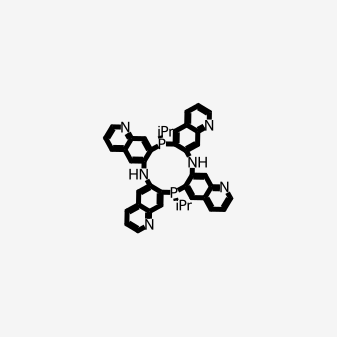 CC(C)P1c2cc3cccnc3cc2Nc2cc3ncccc3cc2P(C(C)C)c2cc3ncccc3cc2Nc2cc3cccnc3cc21